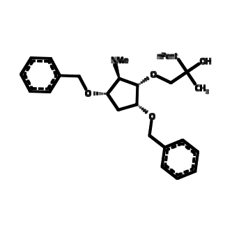 CCCCCC(C)(O)CO[C@H]1[C@H](NC)[C@@H](OCc2ccccc2)C[C@H]1OCc1ccccc1